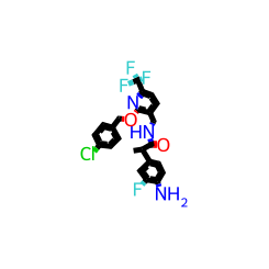 CC(C(=O)NCc1ccc(C(F)(F)F)nc1OCc1ccc(Cl)cc1)c1ccc(N)c(F)c1